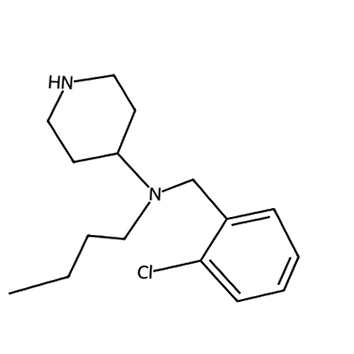 CCCCN(Cc1ccccc1Cl)C1CCNCC1